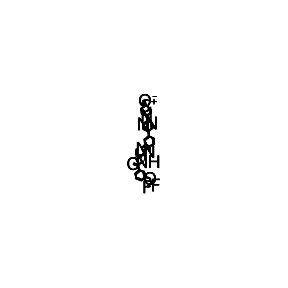 O=C(N[C@@H]1CCn2c1nc1ccc(-c3cnc(N4CC[S+]([O-])CC4)nc3)cc12)c1cccc(OC(F)F)c1